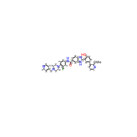 COc1ncccc1-c1ccc(O)c(-c2nc3ccc(C(=O)Nc4ccc(N5CCN(Cc6ccncc6)CC5)c(F)c4)cc3[nH]2)c1